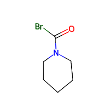 O=C(Br)N1CCCCC1